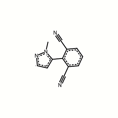 Cn1n[c]cc1-c1c(C#N)cccc1C#N